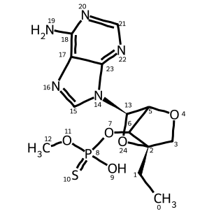 CC[C@]12COC(C1OP(O)(=S)OC)[C@H](n1cnc3c(N)ncnc31)O2